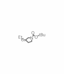 CCO[C@@H]1CCN(C(=O)OC(C)(C)C)C1